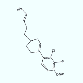 CCC/C=C/CCC1CC=C(c2ccc(OC)c(F)c2Cl)CC1